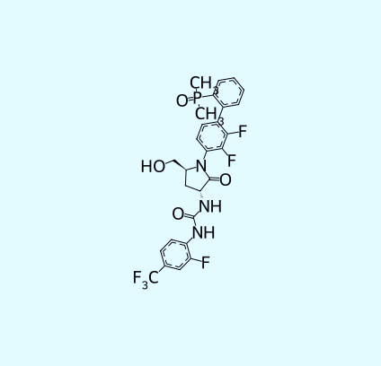 CP(C)(=O)c1ccccc1-c1ccc(N2C(=O)[C@H](NC(=O)Nc3ccc(C(F)(F)F)cc3F)C[C@H]2CO)c(F)c1F